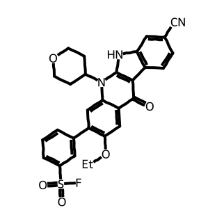 CCOc1cc2c(=O)c3c4ccc(C#N)cc4[nH]c3n(C3CCOCC3)c2cc1-c1cccc(S(=O)(=O)F)c1